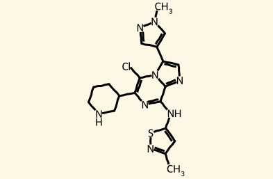 Cc1cc(Nc2nc(C3CCCNC3)c(Cl)n3c(-c4cnn(C)c4)cnc23)sn1